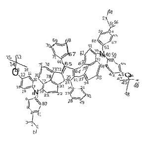 CCC(C)c1ccc(N(c2ccc(OC(C)(C)C)cc2)c2ccc3c4c(-c5ccccc5)c5c6cccc7c(N(c8ccc(OC(C)(C)C)cc8)c8ccc(C(C)CC)cc8)ccc(c5c(-c5ccccc5)c4c4cccc2c43)c76)cc1